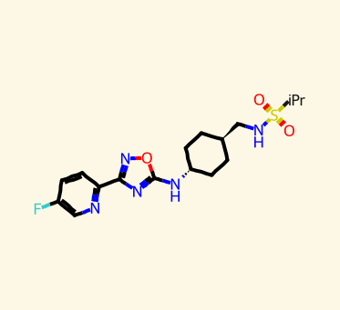 CC(C)S(=O)(=O)NC[C@H]1CC[C@H](Nc2nc(-c3ccc(F)cn3)no2)CC1